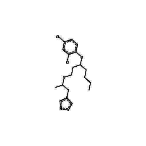 CCCCC(CCSC(C)Cn1ccnc1)Oc1ccc(Cl)cc1Cl